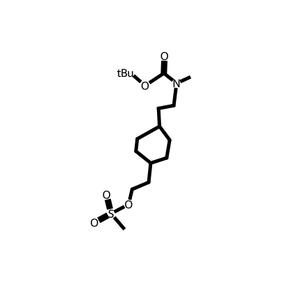 CN(CCC1CCC(CCOS(C)(=O)=O)CC1)C(=O)OC(C)(C)C